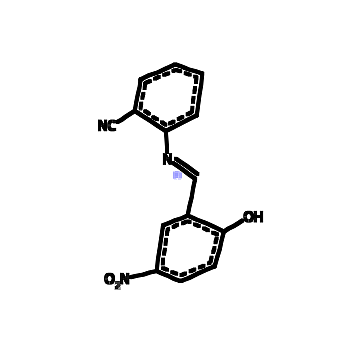 N#Cc1ccccc1/N=C/c1cc([N+](=O)[O-])ccc1O